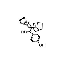 CC(C(O)c1ccc(O)cc1)N1C2CCC1CC(Sc1cccs1)C2